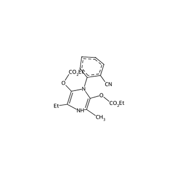 CCOC(=O)OC1=C(C)NC(CC)=C(OC(=O)OCC)N1c1ccccc1C#N